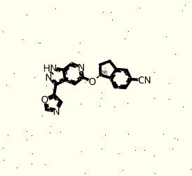 N#Cc1ccc2c(c1)CC[C@H]2Oc1cc2c(-c3cnco3)n[nH]c2cn1